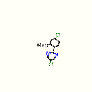 COc1cc(Cl)c[c]c1-c1ncc(Cl)cn1